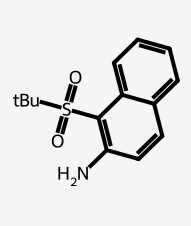 CC(C)(C)S(=O)(=O)c1c(N)ccc2ccccc12